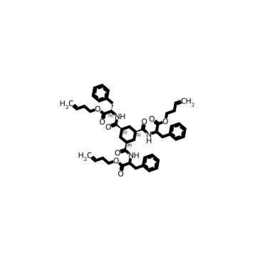 C=CCCOC(=O)C(Cc1ccccc1)NC(=O)[C@@H]1C[C@H](C(=O)NC(Cc2ccccc2)C(=O)OCCC=C)C[C@H](C(=O)N[C@@H](Cc2ccccc2)C(=O)OCCC=C)C1